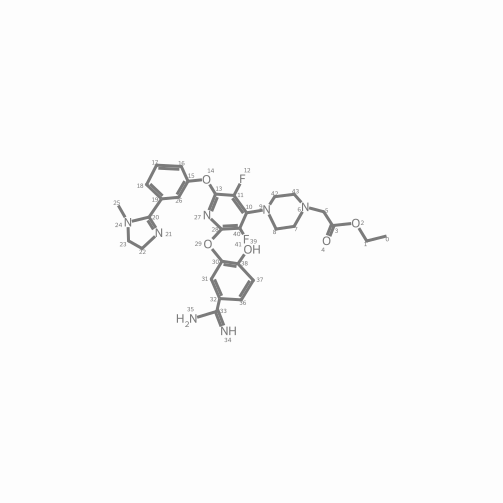 CCOC(=O)CN1CCN(c2c(F)c(Oc3cccc(C4=NCCN4C)c3)nc(Oc3cc(C(=N)N)ccc3O)c2F)CC1